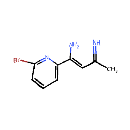 CC(=N)/C=C(\N)c1cccc(Br)n1